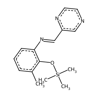 Cc1cccc(N=Cc2cnccn2)c1O[Si](C)(C)C